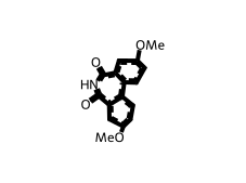 COc1ccc2c(c1)c(=O)[nH]c(=O)c1cc(OC)ccc12